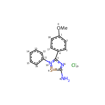 COc1ccc(-c2nc(N)s[n+]2-c2ccccc2)cc1.[Cl-]